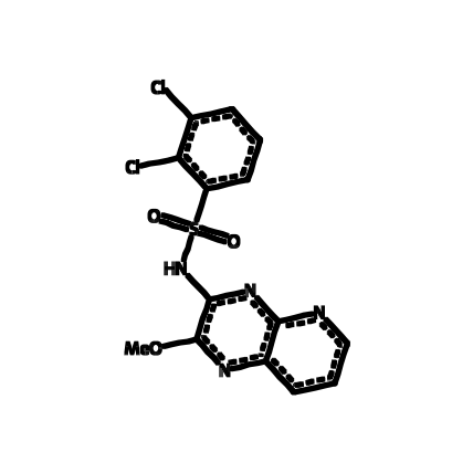 COc1nc2cccnc2nc1NS(=O)(=O)c1cccc(Cl)c1Cl